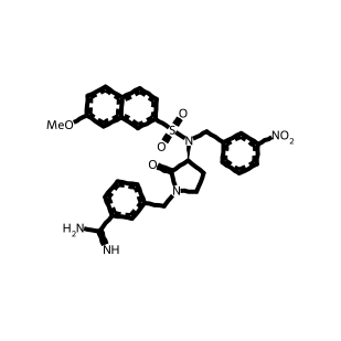 COc1ccc2ccc(S(=O)(=O)N(Cc3cccc([N+](=O)[O-])c3)[C@H]3CCN(Cc4cccc(C(=N)N)c4)C3=O)cc2c1